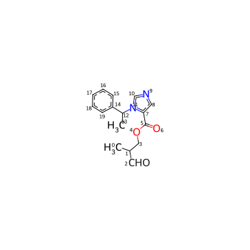 CC(C=O)COC(=O)c1cncn1C(C)c1ccccc1